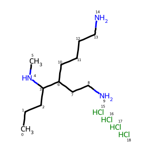 CCCC(NC)C(CCN)CCCCN.Cl.Cl.Cl.Cl